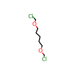 ClCOCCCCCOCCl